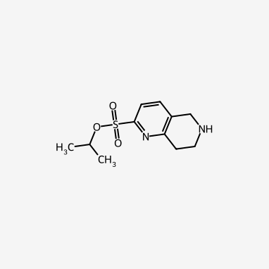 CC(C)OS(=O)(=O)c1ccc2c(n1)CCNC2